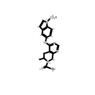 CC1Cc2c(ncnc2Oc2ccc3c(ccn3C(=O)O)c2)CN1C(=O)C(C)(C)C